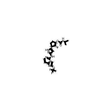 CC(C)NC(=O)O[C@@H]1CC[C@H](c2cc(Nc3nccc4nc(OC(F)(F)F)cn34)n[nH]2)[C@H]1F